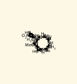 CC[C@H](C)[C@@H]1NC(=O)CNC(=O)[C@H](C)NC(=O)[C@H]([C@@H](C)CC)NC(=O)[C@@H]2C[C@@H](O)CN2C(=O)[C@H](CC(=O)OC)NC(=O)[C@H](CSc2[nH]c3cc(O)c([N+](=O)[O-])cc3c2C)NC(=O)CNC1=O